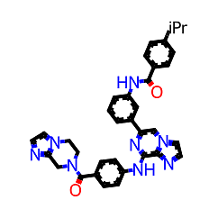 CC(C)c1ccc(C(=O)Nc2cccc(-c3cn4ccnc4c(Nc4ccc(C(=O)N5CCn6ccnc6C5)cc4)n3)c2)cc1